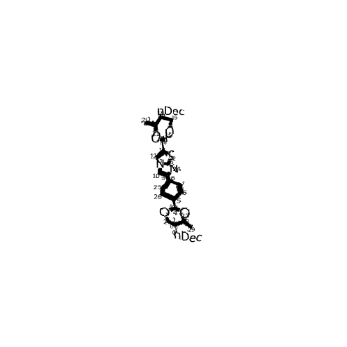 CCCCCCCCCC[C@@H]1CO[C@@H](c2ccc(-c3cn4cc([C@@H]5OC[C@@H](CCCCCCCCCC)C(C)O5)sc4n3)cc2)OC1C